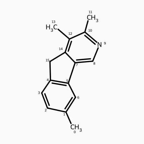 Cc1ccc2c(c1)-c1cnc(C)c(C)c1C2